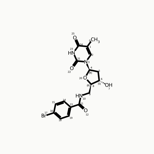 Cc1cn([C@H]2C[C@H](O)[C@@H](CNC(=O)c3ccc(Br)cc3)O2)c(=O)[nH]c1=O